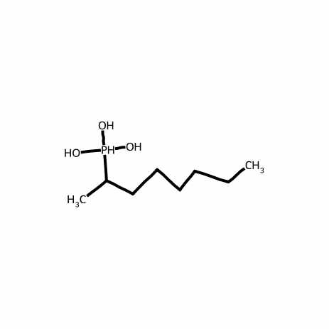 CCCCCCC(C)[PH](O)(O)O